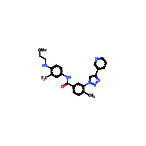 COCCNc1ccc(NC(=O)c2ccc(C)c(-n3cc(-c4cccnc4)nn3)c2)cc1C(F)(F)F